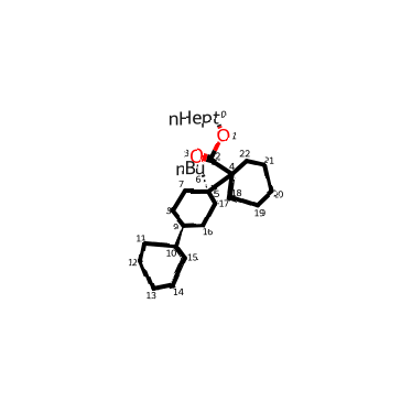 CCCCCCCOC(=O)C1([C@]2(CCCC)CC[C@H](C3CCCCC3)CC2)CCCCC1